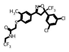 Cc1cc(C2=NO[C@@](c3cc(Cl)cc(Cl)c3)(C(F)(F)F)C2)ccc1SCC(=O)NCC(F)(F)F